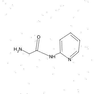 N[CH]C(=O)Nc1ccccn1